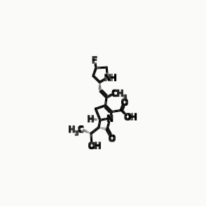 CC(=C[C@@H]1CC(F)CN1)C1=C(C(=O)O)N2C(=O)[C@H]([C@@H](C)O)[C@H]2C1